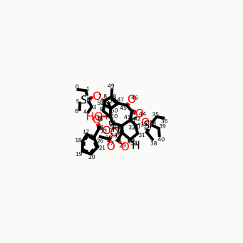 CC[Si](CC)(CC)O[C@H]1C[C@@]2(O)[C@@H](OC(=O)c3ccccc3)[C@@H]3[C@]4(OC(C)=O)CO[C@@H]4C[C@@H](O[Si](CC)(CC)CC)[C@@]3(C)C(=O)C(=O)C(=C1C)C2(C)C